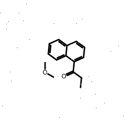 CCC(=O)c1cccc2ccccc12.COC